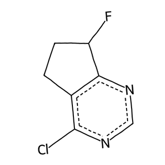 FC1CCc2c(Cl)ncnc21